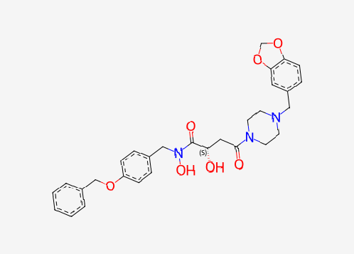 O=C([C@@H](O)CC(=O)N1CCN(Cc2ccc3c(c2)OCO3)CC1)N(O)Cc1ccc(OCc2ccccc2)cc1